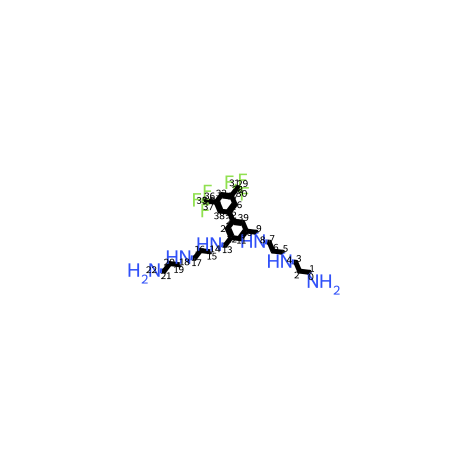 NCCCNCCCNCc1cc(CNCCCNCCCN)cc(-c2cc(C(F)(F)F)cc(C(F)(F)F)c2)c1